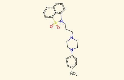 O=[N+]([O-])c1ccc(N2CCN(CCCN3c4cccc5cccc(c45)S3(=O)=O)CC2)cc1